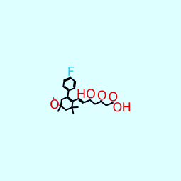 COC1(C)CC(c2ccc(F)cc2)=C(C=CC(O)CC(=O)CC(=O)O)C(C)(C)C1